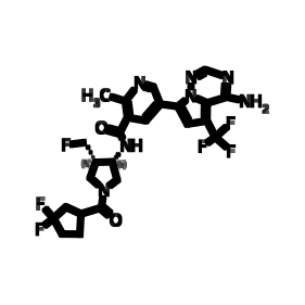 Cc1ncc(-c2cc(C(F)(F)F)c3c(N)ncnn23)cc1C(=O)N[C@@H]1CN(C(=O)C2CCC(F)(F)C2)C[C@@H]1CF